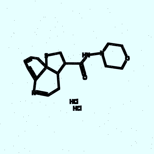 Cl.Cl.O=C(NN1CCOCC1)C1CSC23CC=CC=C2N=CCC13